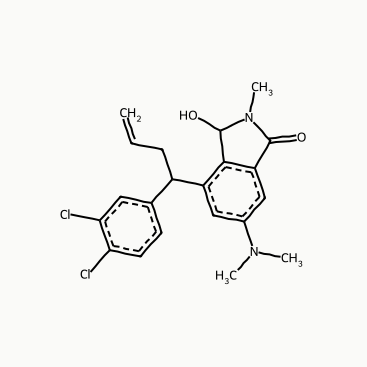 C=CCC(c1ccc(Cl)c(Cl)c1)c1cc(N(C)C)cc2c1C(O)N(C)C2=O